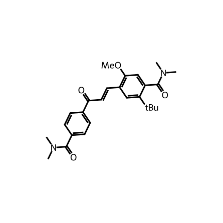 COc1cc(C(=O)N(C)C)c(C(C)(C)C)cc1/C=C/C(=O)c1ccc(C(=O)N(C)C)cc1